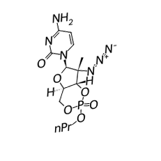 CCCOP1(=O)OC[C@H]2O[C@@H](n3ccc(N)nc3=O)[C@](C)(N=[N+]=[N-])[C@@H]2O1